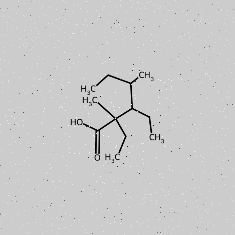 CCC(C)C(CC)C(C)(CC)C(=O)O